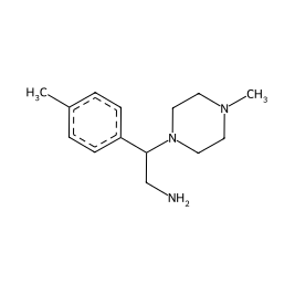 Cc1ccc(C(CN)N2CCN(C)CC2)cc1